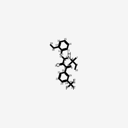 C=C(C(=O)C(NC(C)(C)CC)Sc1ccccc1CC)c1cccc(C(F)(F)F)c1